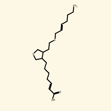 CCCC/C=C/CSCCC1CSCC1CCCC/C=C/C(=O)O